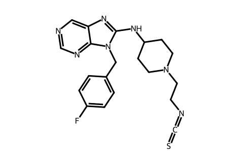 Fc1ccc(Cn2c(NC3CCN(CCN=C=S)CC3)nc3cncnc32)cc1